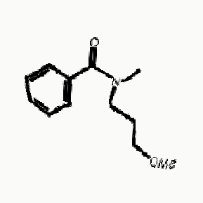 COCCCN(C)C(=O)c1ccccc1